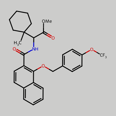 COC(=O)C(NC(=O)c1ccc2ccccc2c1OCc1ccc(OC(F)(F)F)cc1)C1(C)CCCCC1